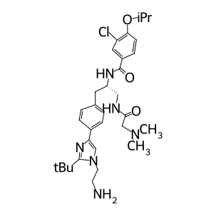 CC(C)Oc1ccc(C(=O)N[C@H](CNC(=O)CN(C)C)Cc2ccc(-c3cn(CCN)c(C(C)(C)C)n3)cc2)cc1Cl